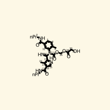 CCCNC(=O)c1ccc(C)c(N(C(=N)c2[nH]cc(C(=O)NCCC)c2C)C(=O)OCOC(=O)CO)c1